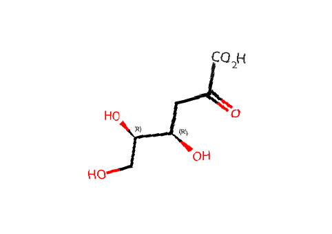 O=C(O)C(=O)C[C@@H](O)[C@H](O)CO